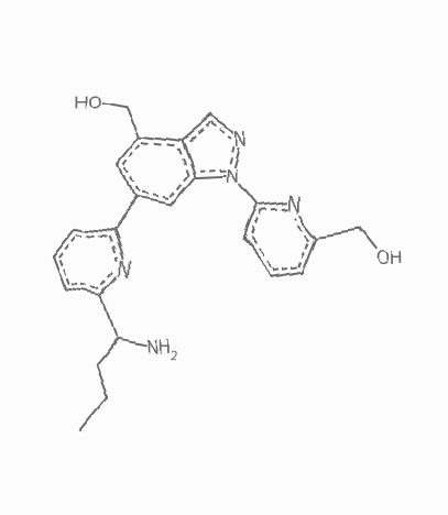 CCCC(N)c1cccc(-c2cc(CO)c3cnn(-c4cccc(CO)n4)c3c2)n1